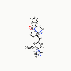 COc1cc(/C=C2\CCC(=O)N3C2=NCC[C@]3(C)c2ccc(F)cc2)ccc1-n1cnc(C)c1